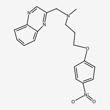 CN(CCCOc1ccc([N+](=O)[O-])cc1)Cc1cnc2ccccc2n1